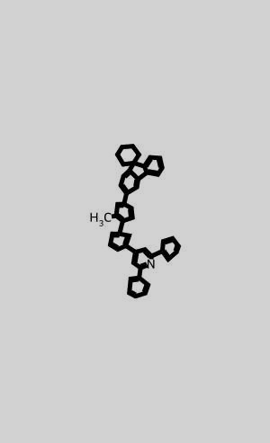 Cc1cc(-c2ccc3c(c2)-c2ccccc2C32CCCCC2)ccc1-c1cccc(-c2cc(-c3ccccc3)nc(-c3ccccc3)c2)c1